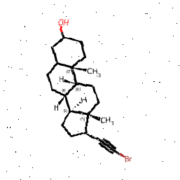 C[C@]12CCC(O)CC1CC[C@@H]1[C@H]2CC[C@]2(C)C(C#CBr)CC[C@@H]12